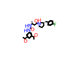 CC(=O)c1cc(NC(=O)N[C@@H](C)C[C@@H](O)N2CCC[C@@H](Cc3ccc(F)cc3)C2)cc(C(C)=O)c1